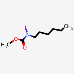 CCCCCCN(I)C(=O)OC